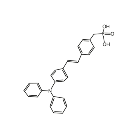 O=P(O)(O)Cc1ccc(C=Cc2ccc(N(c3ccccc3)c3ccccc3)cc2)cc1